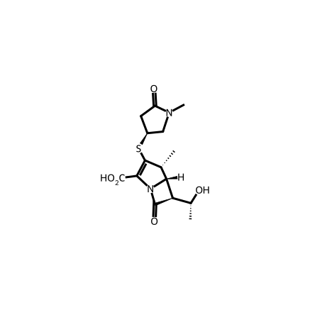 C[C@@H](O)[C@H]1C(=O)N2C(C(=O)O)=C(S[C@H]3CC(=O)N(C)C3)[C@H](C)[C@H]12